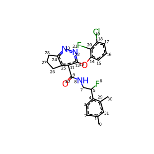 Cc1ccc(C(F)CNC(=O)c2c(Oc3cccc(Cl)c3F)nnc3c2CCC3)c(C)c1